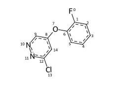 Fc1ccccc1Oc1cnnc(Cl)c1